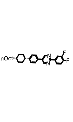 CCCCCCCC[C@H]1CC[C@H](c2ccc(-c3cnc(-c4ccc(F)c(F)c4)nc3)cc2)CC1